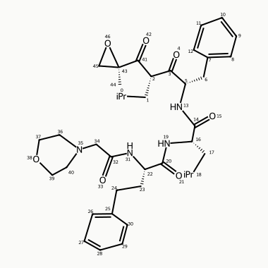 CC(C)C[C@@H](C(=O)[C@H](Cc1ccccc1)NC(=O)[C@H](CC(C)C)NC(=O)[C@H](CCc1ccccc1)NC(=O)CN1CCOCC1)C(=O)[C@@]1(C)CO1